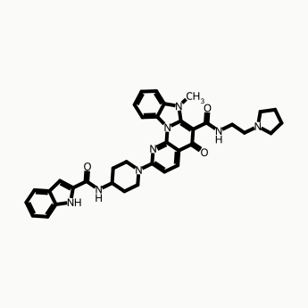 Cn1c2ccccc2n2c3nc(N4CCC(NC(=O)c5cc6ccccc6[nH]5)CC4)ccc3c(=O)c(C(=O)NCCN3CCCC3)c12